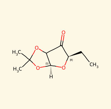 CC[C@H]1O[C@H]2OC(C)(C)OC2C1=O